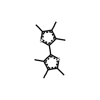 Cc1sc(-c2sc(C)c(C)c2C)c(C)c1C